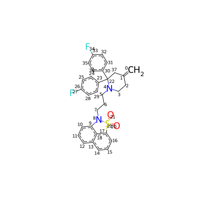 C=C1CCN(CCCN2c3cccc4cccc(c34)S2(=O)=O)C(c2ccc(F)cc2)(c2ccc(F)cc2)C1